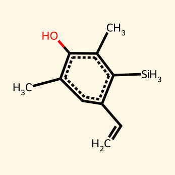 C=Cc1cc(C)c(O)c(C)c1[SiH3]